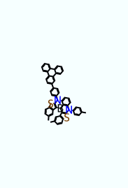 Cc1ccc(N2c3cccc4c3B(c3c2sc2ccc(C)cc32)c2c(sc3ccc(C)cc23)N4c2ccc(-c3ccc4c5ccccc5c5ccccc5c4c3)cc2)cc1